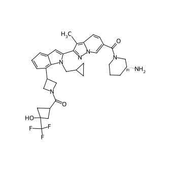 Cc1c(-c2cc3cccc(C4CN(C(=O)C5CC(O)(C(F)(F)F)C5)C4)c3n2CC2CC2)nn2cc(C(=O)N3CCC[C@@H](N)C3)ccc12